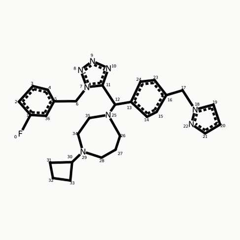 Fc1cccc(Cn2nnnc2C(c2ccc(Cn3cccn3)cc2)N2CCCN(C3CCC3)CC2)c1